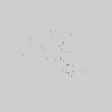 CC[C@@H]1C[C@](Cc2nc(Nc3cc(C)[nH]n3)ccc2F)(C(=O)O)CCN1[C@@H](C)c1ccccc1C(F)(F)F